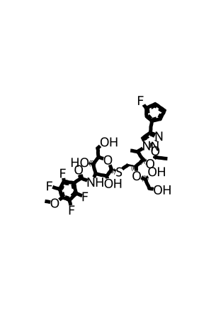 COc1c(F)c(F)c(C(=O)NC2C(O)[C@H](SC[C@H](O[C@@H](O)CO)[C@H](OC(C)=O)C(C)n3cc(-c4cccc(F)c4)nn3)OC(CO)[C@@H]2O)c(F)c1F